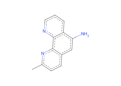 Cc1ccc2cc(N)c3cccnc3c2n1